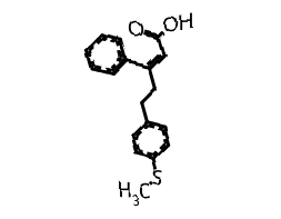 CSc1ccc(CCC(=CC(=O)O)c2ccccc2)cc1